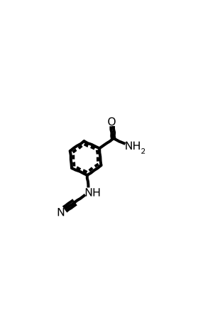 N#CNc1cccc(C(N)=O)c1